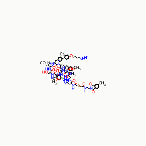 CCc1cc(OCCCCN=[N+]=[N-])ccc1-c1ccc(C[C@H](NC(=O)[C@H](CC(=O)O)NC(=O)[C@H](CO)NC(=O)[C@@H](NC(=O)[C@](C)(Cc2ccccc2F)NC(=O)[C@@H](NC(=O)CNC(=O)[C@H](Cc2nn[nH]n2)NC(=O)CSCC(=O)NCCN2C(=O)c3ccc(C)cc3C2=O)[C@@H](C)O)[C@@H](C)O)C(=O)N[C@@H](CCCc2cc(C)cc(C)c2)C(N)=O)cc1